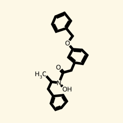 CC(Cc1ccccc1)N(O)C(=O)Cc1cccc(OCc2ccccc2)c1